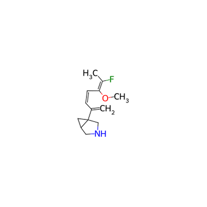 C=C(/C=C\C(OC)=C(/C)F)C12CNCC1C2